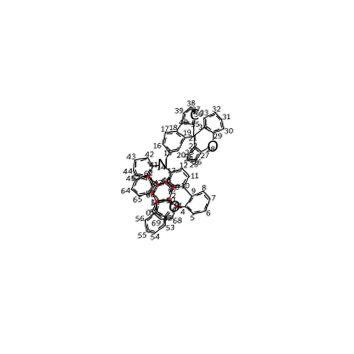 c1ccc(-c2ccccc2-c2ccc(N(c3ccc4c(c3)C3(c5ccccc5Oc5ccccc53)c3ccccc3-4)c3ccccc3-c3ccc4oc5ccccc5c4c3)c(-c3ccccc3)c2)cc1